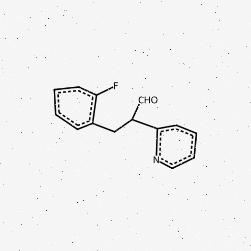 O=CC(Cc1ccccc1F)c1ccccn1